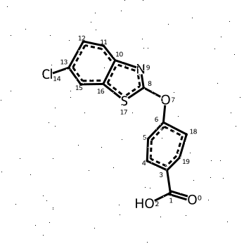 O=C(O)c1ccc(Oc2nc3ccc(Cl)cc3s2)cc1